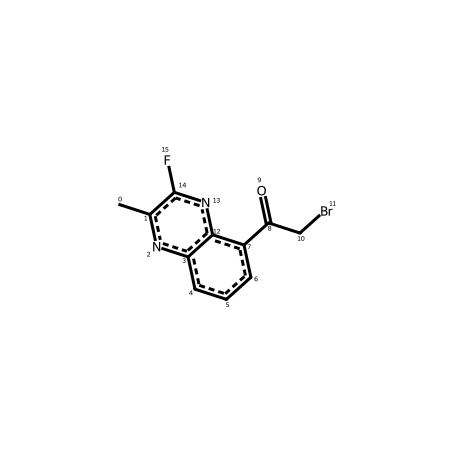 Cc1nc2cccc(C(=O)CBr)c2nc1F